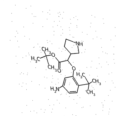 CC(C)(C)OC(=O)C(Oc1cc(N)ccc1C(C)(C)C)C1CCNC1